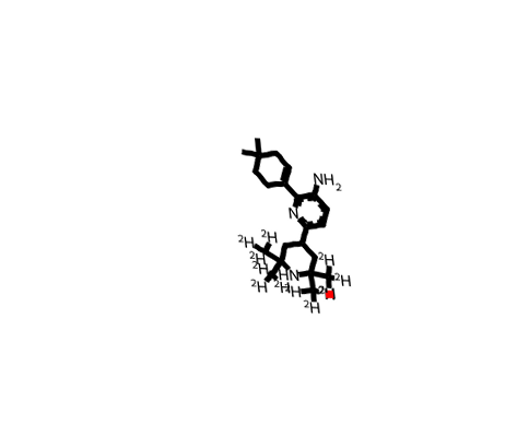 [2H]C([2H])([2H])C1(C([2H])([2H])[2H])CC(c2ccc(N)c(C3=CCC(C)(C)CC3)n2)CC(C([2H])([2H])[2H])(C([2H])([2H])[2H])N1